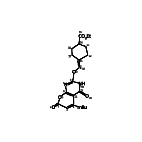 CCCCc1cc(=O)oc2nc(ON=C3CCC(C(=O)OCC)CC3)[nH]c(=O)c12